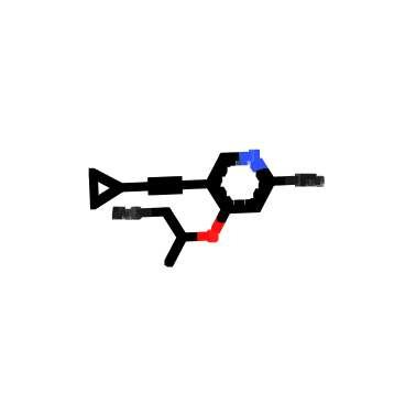 CNc1cc(OC(C)COC)c(C#CC2CC2)cn1